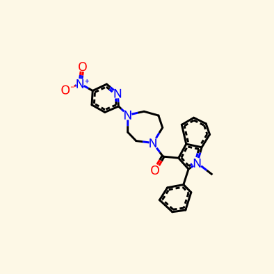 Cn1c(-c2ccccc2)c(C(=O)N2CCCN(c3ccc([N+](=O)[O-])cn3)CC2)c2ccccc21